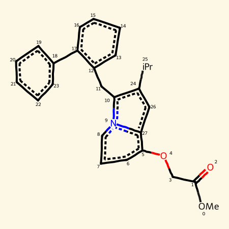 COC(=O)COc1cccn2c(Cc3ccccc3-c3ccccc3)c(C(C)C)cc12